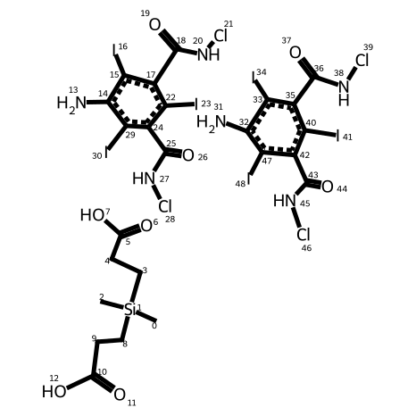 C[Si](C)(CCC(=O)O)CCC(=O)O.Nc1c(I)c(C(=O)NCl)c(I)c(C(=O)NCl)c1I.Nc1c(I)c(C(=O)NCl)c(I)c(C(=O)NCl)c1I